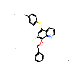 Cc1ccc(Sc2cc(F)c(OCc3ccccc3)c3ncccc23)cc1